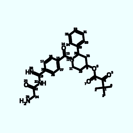 CC(C)(C)C(=O)C(=O)OC1CCN(C(=O)c2ccc(C(=N)NC(=O)CN)cc2)C(c2ccccc2)C1